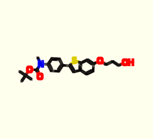 CN(C(=O)OC(C)(C)C)c1ccc(-c2cc3ccc(OCCCO)cc3s2)cc1